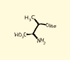 COC(C)[C@@H](N)C(=O)O